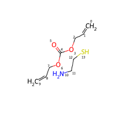 C=CCOC(=O)OCC=C.NCCS